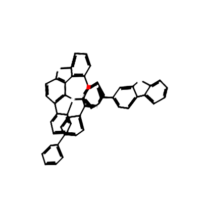 c1ccc(-c2ccc(-c3nc(-c4ccc5c(c4)oc4ccccc45)nc(-c4cccc5oc6ccc7c8ccccc8n(-c8ccccc8)c7c6c45)n3)cc2)cc1